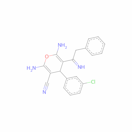 N#CC1=C(N)OC(N)=C(C(=N)Cc2ccccc2)C1c1cccc(Cl)c1